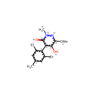 CCc1cc(C)cc(CC)c1-c1c(O)c(OC)nn(C)c1=O